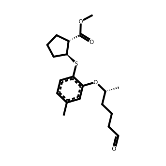 COC(=O)[C@H]1CCC[C@@H]1Sc1ccc(C)cc1O[C@H](C)CCCC=O